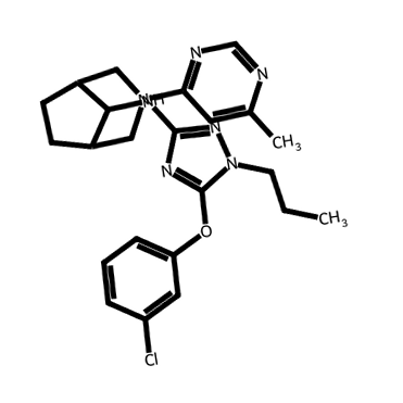 CCCn1nc(NC2C3CCC2CN(c2cc(C)ncn2)C3)nc1Oc1cccc(Cl)c1